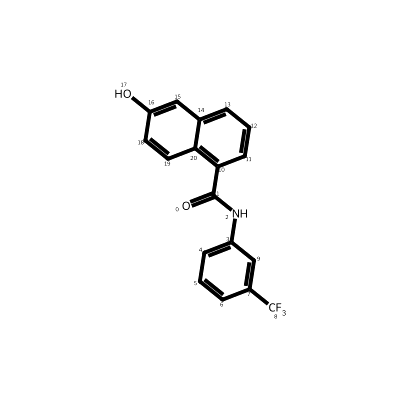 O=C(Nc1cccc(C(F)(F)F)c1)c1cccc2cc(O)ccc12